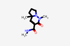 CNC(=O)C1=CC2(C)CCCN2N(C)C1=O